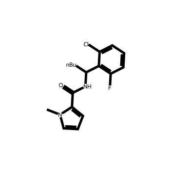 CCCCC(NC(=O)c1cccn1C)c1c(F)cccc1Cl